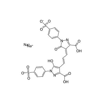 O=C(O)C1=NN(c2ccc(S(=O)(=O)[O-])cc2)C(=O)C1=CC=Cc1c(C(=O)O)nn(-c2ccc(S(=O)(=O)[O-])cc2)c1O.[Na+].[Na+]